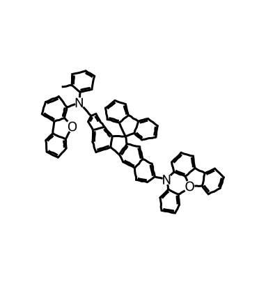 Cc1ccccc1N(c1ccc2cc3c(cc2c1)C1(c2ccccc2-c2ccccc21)c1c-3ccc2cc(N(c3ccccc3C)c3cccc4c3oc3ccccc34)ccc12)c1cccc2c1oc1ccccc12